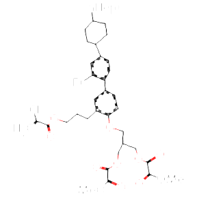 C=C(C)C(=O)OCCCc1cc(-c2ccc(C3CCC(CCCCCCC)CC3)cc2CC)ccc1OCC(COC(=O)C(=O)OC)COC(=O)C(=O)OC